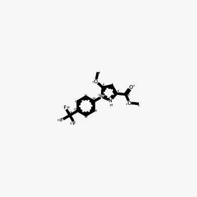 COC(=O)c1cc(OC)n(-c2ccc(C(F)(F)F)cc2)n1